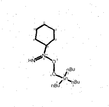 CCC[CH2][Sn]([CH2]CCC)([CH2]CCC)[O]O[N+](=N)C1CCCCC1